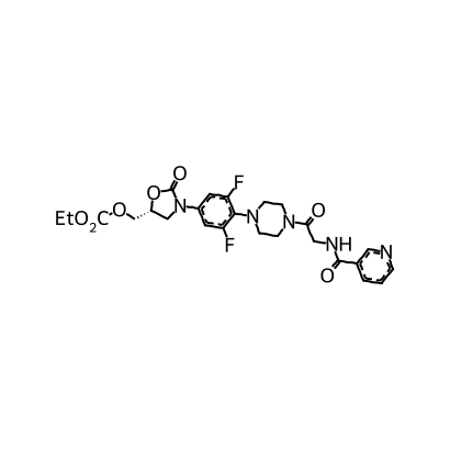 CCOC(=O)OC[C@H]1CN(c2cc(F)c(N3CCN(C(=O)CNC(=O)c4cccnc4)CC3)c(F)c2)C(=O)O1